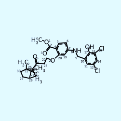 COC(=O)c1ccc(NCc2cc(Cl)cc(Cl)c2O)cc1OCCC(=O)C1CC2CCC1(C)C2(C)C